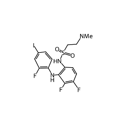 CNCCS(=O)(=O)Nc1ccc(F)c(F)c1Nc1ccc(I)cc1F